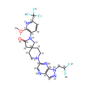 COc1nc(C(F)(F)F)ccc1N1CC2(CCN(c3cnc4cnn(CC(F)F)c4n3)CC2)CC1=O